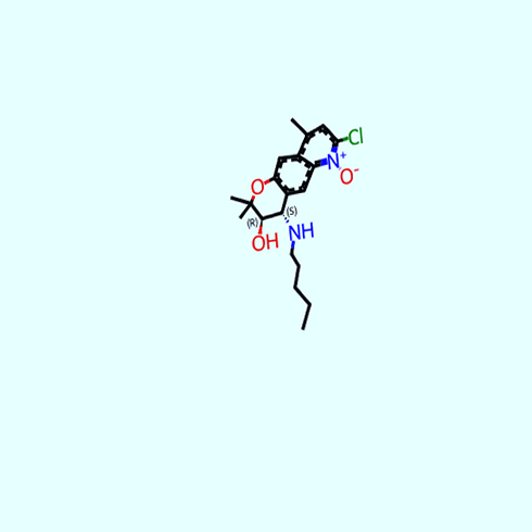 CCCCCN[C@H]1c2cc3c(cc2OC(C)(C)[C@@H]1O)c(C)cc(Cl)[n+]3[O-]